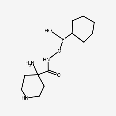 NC1(C(=O)NOB(O)C2CCCCC2)CCNCC1